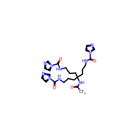 O=C(NCCCC(CCCNC(=O)n1ccnc1)(CCCNC(=O)n1ccnc1)NC(=O)C(F)(F)F)n1ccnc1